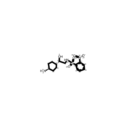 N[C@H]1CC[C@H](C(O)CNS(=O)(=O)c2ccccc2[N+](=O)[O-])CC1